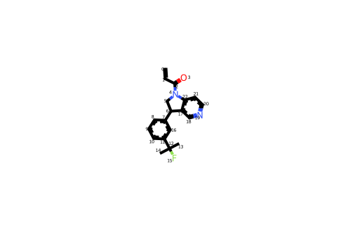 C=CC(=O)N1CC(c2cccc(C(C)(C)F)c2)c2cnccc21